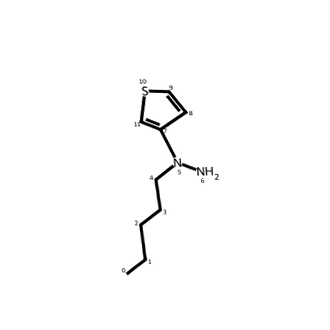 CCCCCN(N)c1ccsc1